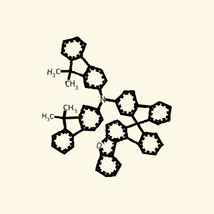 CC1(C)c2ccccc2-c2ccc(N(c3ccc4c(c3)C(C)(C)c3ccccc3-4)c3ccc4c(c3)C3(c5ccccc5-4)c4ccccc4-c4c3ccc3oc5ccccc5c43)cc21